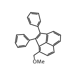 COCc1ccc2cccc3c2c1C(c1ccccc1)=C3c1ccccc1